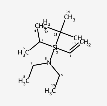 C=C[Si](C(C)C)(N(CC)CC)C(C)(C)C